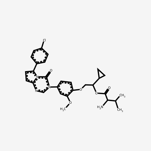 COc1cc(-n2cnc3ccc(-c4ccc(Cl)cc4)n3c2=O)ccc1OCC(OC(=O)C(N)C(C)C)C1CC1